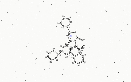 C=Cc1c(/C=C(\C)c2ccccc2)c2cc(-c3ccccc3)cc3c4ccccc4c(=O)n1c23